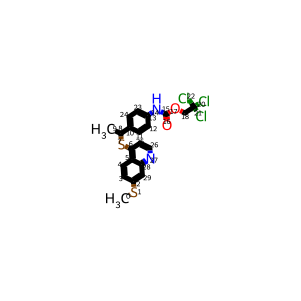 CSc1ccc2c(SC(C)c3ccc(NC(=O)OCC(Cl)(Cl)Cl)cc3)ccnc2c1